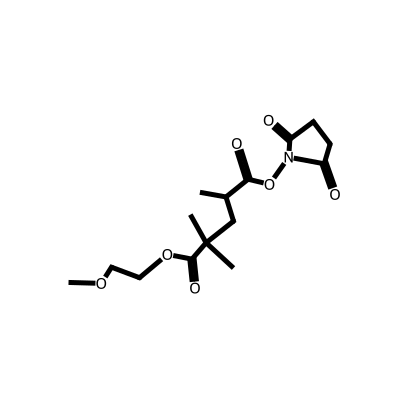 COCCOC(=O)C(C)(C)CC(C)C(=O)ON1C(=O)CCC1=O